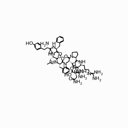 CC(C)C[C@H](NC(=O)[C@H](Cc1ccccc1)NC(=O)[C@@H](N)Cc1ccc(O)cc1)C(=O)N[C@@H](Cc1ccccc1)C(=O)N[C@@H](CCCN=C(N)N)C(=O)N1CCC[C@H]1C(=O)N[C@@H](CCCN=C(N)N)C(=O)N[C@@H](CC(N)=O)C(=O)O